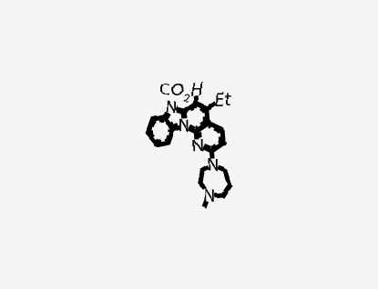 CCc1c(C(=O)O)c2nc3ccccc3n2c2nc(N3CCCN(C)CC3)ccc12